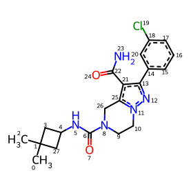 CC1(C)CC(NC(=O)N2CCn3nc(-c4cccc(Cl)c4)c(C(N)=O)c3C2)C1